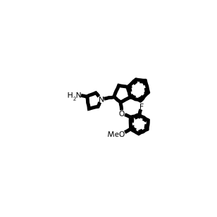 COc1cccc(F)c1OC1c2ccccc2CC1N1CCC(N)C1